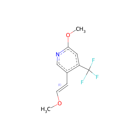 CO/C=C/c1cnc(OC)cc1C(F)(F)F